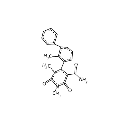 Cc1c(-c2ccccc2)cccc1-c1c(C(N)=O)c(=O)n(C)c(=O)n1C